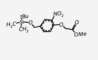 COC(=O)COc1ccc(CO[Si](C)(C)C(C)(C)C)cc1[N+](=O)[O-]